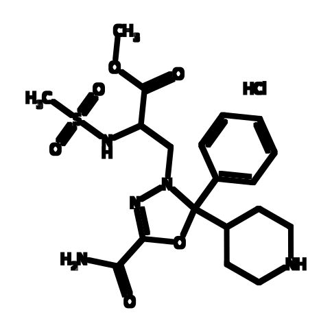 COC(=O)C(CN1N=C(C(N)=O)OC1(c1ccccc1)C1CCNCC1)NS(C)(=O)=O.Cl